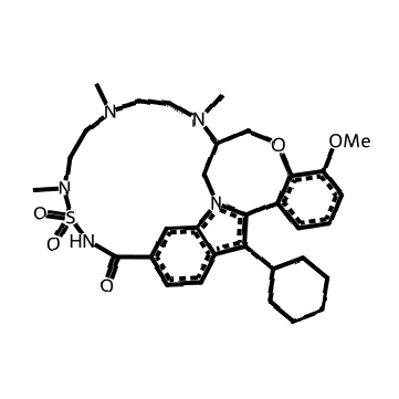 COc1cccc2c1OCC1Cn3c-2c(C2CCCCC2)c2ccc(cc23)C(=O)NS(=O)(=O)N(C)CCN(C)CCN1C